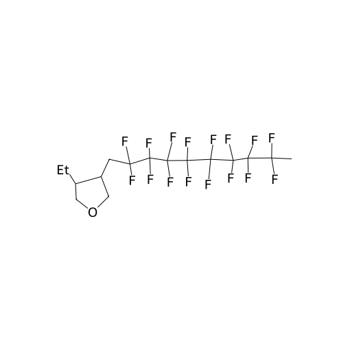 CCC1COCC1CC(F)(F)C(F)(F)C(F)(F)C(F)(F)C(F)(F)C(F)(F)C(F)(F)C(C)(F)F